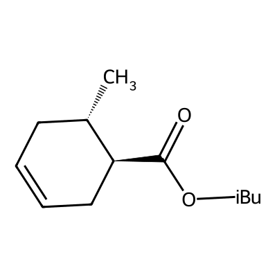 CCC(C)OC(=O)[C@H]1CC=CC[C@@H]1C